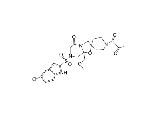 COCC12CN(S(=O)(=O)c3cc4cc(Cl)ccc4[nH]3)CC(=O)N1CC1(CCN(C(=O)C(C)=O)CC1)O2